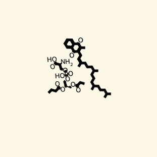 CC(=CCC1=C(C)C(=O)c2ccccc2C1=O)CCCC(C)CCCC(C)CCCC(C)C.CCCC(=O)O[C@H](COC(=O)CC)COP(=O)(O)OC[C@H](N)C(=O)O